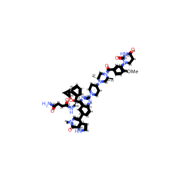 COc1ccc(C(=O)N2C[C@@H](C)N(C3CCN(c4nc([C@@](CNC(=O)CCC(N)=O)(OC5CC5)c5ccccc5)c5cc(-c6cn(C)c(=O)c7[nH]ccc67)ccc5n4)CC3)C[C@@H]2C)cc1N1CCC(=O)NC1=O